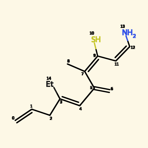 C=CC/C(=C/C(=C)/C(C)=C(S)\C=C/N)CC